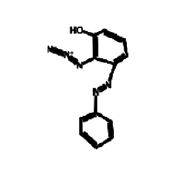 [N-]=[N+]=Nc1c(O)cccc1N=Nc1ccccc1